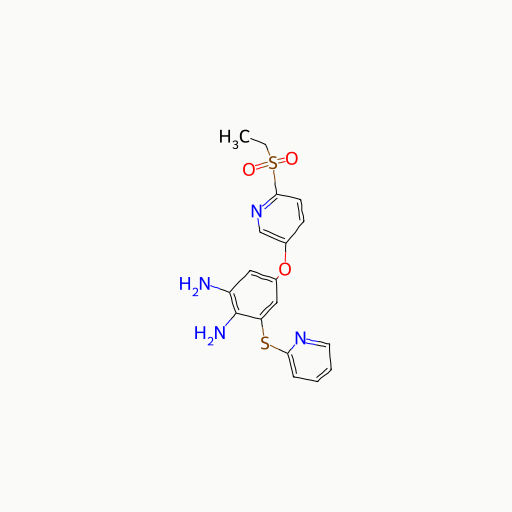 CCS(=O)(=O)c1ccc(Oc2cc(N)c(N)c(Sc3ccccn3)c2)cn1